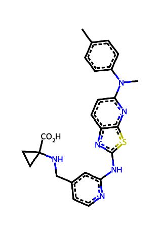 Cc1ccc(N(C)c2ccc3nc(Nc4cc(CNC5(C(=O)O)CC5)ccn4)sc3n2)cc1